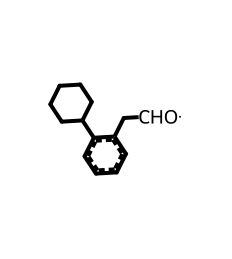 O=[C]Cc1ccccc1C1CCCCC1